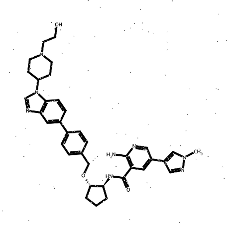 Cn1cc(-c2cnc(N)c(C(=O)N[C@H]3CCC[C@@H]3OCc3ccc(-c4ccc5c(c4)ncn5C4CCN(CCO)CC4)cc3)c2)cn1